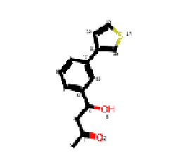 CC(=O)CC(O)c1cccc(-c2ccsc2)c1